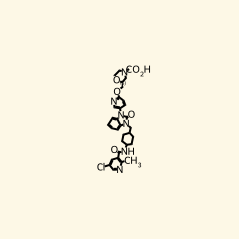 Cc1ncc(Cl)cc1C(=O)NC1CCC(Cn2c(=O)n(-c3ccc(OC[C@@H]4CN(C(=O)O)CCO4)nc3)c3ccccc32)CC1